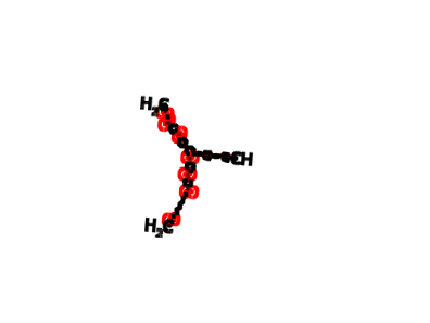 C#Cc1ccc(C#Cc2ccc(C#CC3(OC(=O)c4ccc(OC(=O)C5CCC(C(=O)OCCCCCCCCOC(=O)C=C)CC5)cc4)CCC(c4ccc(OC(=O)C5CCC(C(=O)OCOC(=O)C=C)CC5)cc4)CC3)cc2)cc1